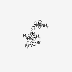 Cc1nn(Cc2ccc(C(=O)Nc3ccccc3C(N)=O)cc2)c(C)c1NC(=O)c1cc(C(F)(F)F)nc2ccc(Br)cc12